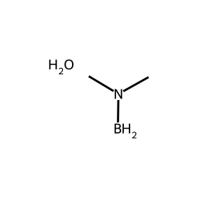 BN(C)C.O